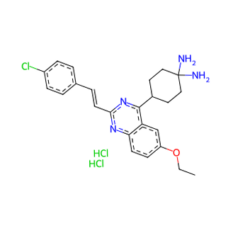 CCOc1ccc2nc(C=Cc3ccc(Cl)cc3)nc(C3CCC(N)(N)CC3)c2c1.Cl.Cl